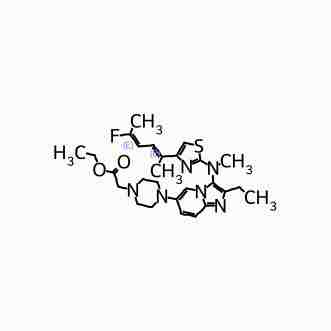 CCOC(=O)CN1CCN(c2ccc3nc(CC)c(N(C)c4nc(/C(C)=C/C=C(\C)F)cs4)n3c2)CC1